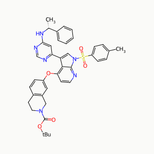 Cc1ccc(S(=O)(=O)n2cc(-c3cc(N[C@H](C)c4ccccc4)ncn3)c3c(Oc4ccc5c(c4)CN(C(=O)OC(C)(C)C)CC5)ccnc32)cc1